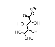 CCCOC(=O)[C@@H](O)[C@@H](O)[C@@H](O)[C@H](O)C=O